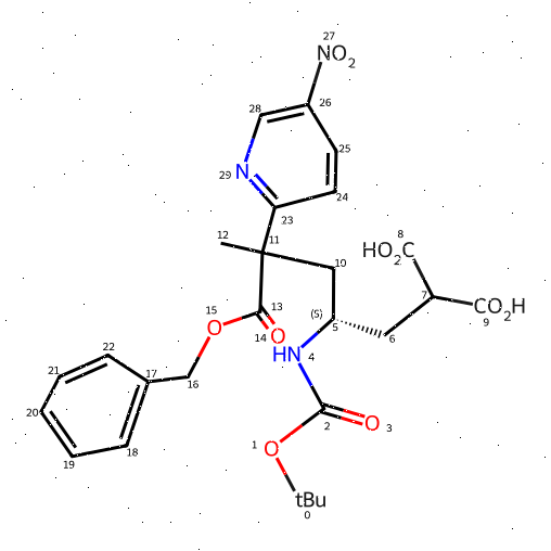 CC(C)(C)OC(=O)N[C@@H](CC(C(=O)O)C(=O)O)CC(C)(C(=O)OCc1ccccc1)c1ccc([N+](=O)[O-])cn1